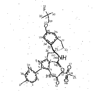 Cc1ccc(-n2nc3c(c2NC(=O)CS(C)(=O)=O)C(=O)N[C@@]2(CCc4cc(OCC(C)(C)F)ccc42)C3)nc1